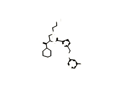 O=C(NC(CNCCO)C(=O)C1CCCCC1)c1ccc(COc2cncc(Cl)c2)s1